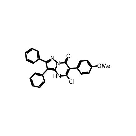 COc1ccc(-c2c(Cl)[nH]c3c(-c4ccccc4)c(-c4ccccc4)nn3c2=O)cc1